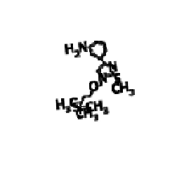 CSc1nc(-c2cccc(N)c2)cn1COCC[Si](C)(C)C